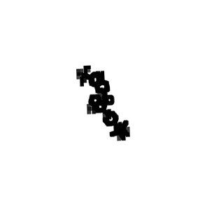 Cc1nnc(C)n1C1CCN([C@@H]2C[C@H]3CCC[C@@]3(C(=O)N3CCc4ncc(C(F)(F)F)cc4C3)C2)CC1